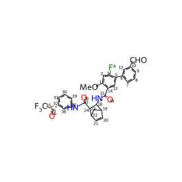 COc1cc(F)c(-c2cccc(C=O)c2)cc1C(=O)NC1C2C=CC(C2)C1C(=O)Nc1cccc([S+]([O-])C(F)(F)F)c1